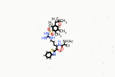 CCC(NC(C)=O)C(=O)NC(CCCNC(=N)NS(=O)(=O)c1c(C)c(C)c2c(c1C)CC(C)(C)O2)C(=O)c1nc2ccccc2s1